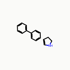 C1=CNCC1.c1ccc(-c2ccccc2)cc1